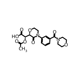 CC(=O)O[C@@H](C(=O)O)[C@H]1OCCN(c2cccc(C(=O)N3CCOCC3)c2)C1=O